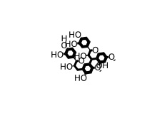 COc1cc(O)c2c(c1)O[C@H](c1ccc(O)c(O)c1)[C@H](O)C2c1c(OC)cc(O)c2c1O[C@H](c1ccc(O)c(O)c1)[C@@H](O)C2